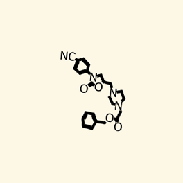 N#Cc1ccc(N2CC(CN3CCN(CC(=O)OCc4ccccc4)CC3)OC2=O)cc1